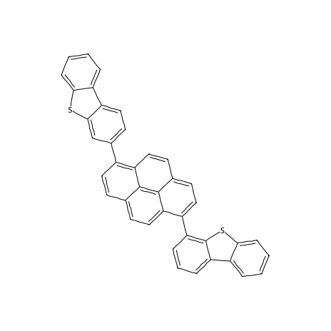 c1ccc2c(c1)sc1cc(-c3ccc4ccc5c(-c6cccc7c6sc6ccccc67)ccc6ccc3c4c65)ccc12